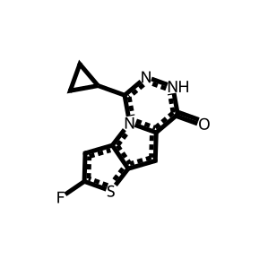 O=c1[nH]nc(C2CC2)n2c1cc1sc(F)cc12